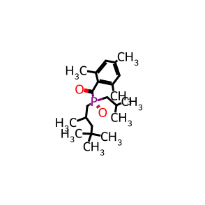 Cc1cc(C)c(C(=O)P(=O)(CC(C)C)CC(C)CC(C)(C)C)c(C)c1